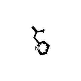 C=C(F)Cc1ccccn1